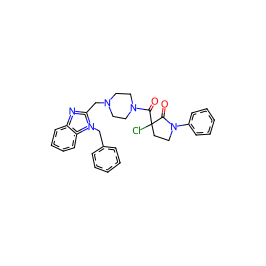 O=C(N1CCN(Cc2nc3ccccc3n2Cc2ccccc2)CC1)C1(Cl)CCN(c2ccccc2)C1=O